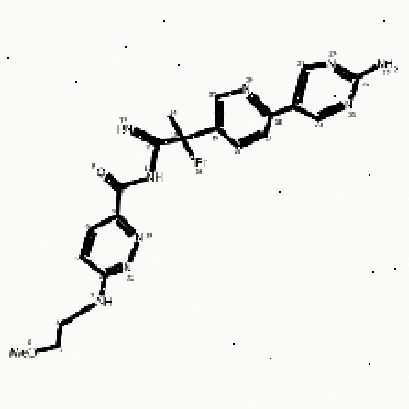 COCCNc1ccc(C(=O)NC(=N)C(C)(c2ccc(-c3cnc(N)nc3)nc2)C(C)C)nn1